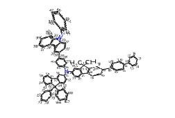 CC1(C)C2=C(C=CC(c3ccc(-c4ccccc4)cc3)C2)c2ccc(N(c3ccc(-c4ccc5c(c4)c4ccccc4n5-c4ccccc4)cc3)c3ccc4c(c3)-c3ccccc3C4(c3ccccc3)c3ccccc3)cc21